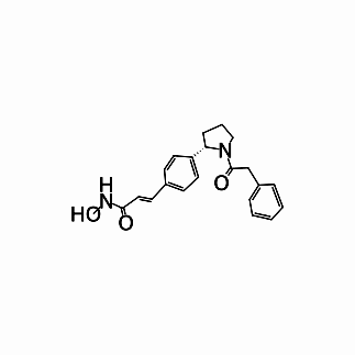 O=C(/C=C/c1ccc([C@@H]2CCCN2C(=O)Cc2ccccc2)cc1)NO